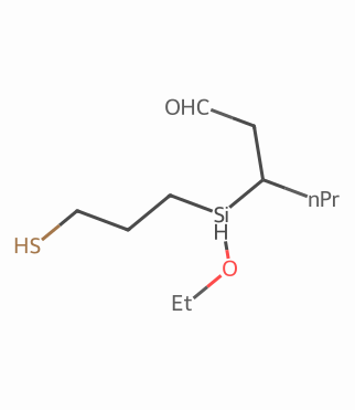 CCCC(CC=O)[SiH](CCCS)OCC